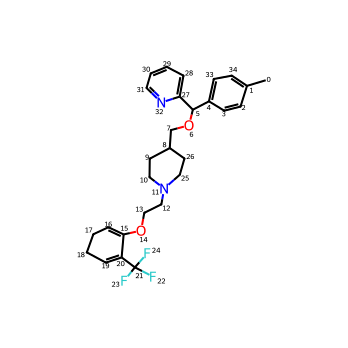 Cc1ccc(C(OCC2CCN(CCOC3=CCCC=C3C(F)(F)F)CC2)c2ccccn2)cc1